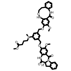 COC(=O)CCCN(C)c1cc(COc2cc3c(cc2OC)C(=O)Nc2ccccc2CCON3)cc(COc2cc3c(cc2OC)C(=O)N2c4ccccc4C[C@H]2C(=O)N3)c1